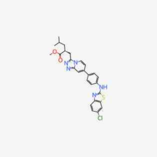 COC(=O)[C@H](Cc1nnc2cc(-c3ccc(Nc4nc5ccc(Cl)cc5s4)cc3)ccn12)CC(C)C